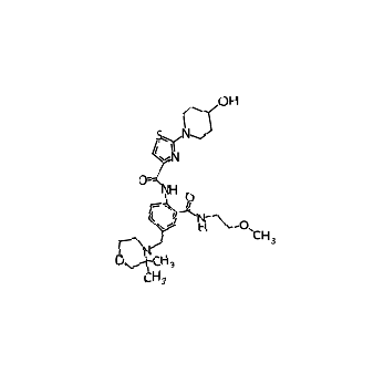 COCCNC(=O)c1cc(CN2CCOCC2(C)C)ccc1NC(=O)c1csc(N2CCC(O)CC2)n1